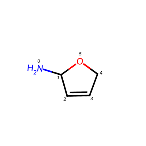 NC1C=CCO1